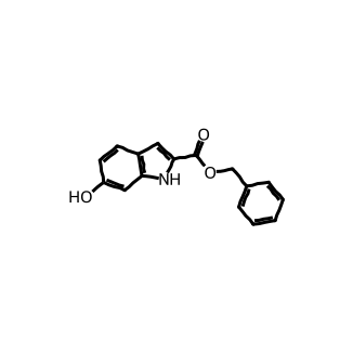 O=C(OCc1ccccc1)c1cc2ccc(O)cc2[nH]1